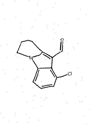 O=Cc1c2n(c3cccc(Cl)c13)CCC2